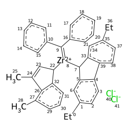 CCc1ccc2c(c1)[CH]([Zr+2](=[C](c1ccccc1)c1ccccc1)[CH]1C=C(C)c3c(C)cccc31)c1cc(CC)ccc1-2.[Cl-].[Cl-]